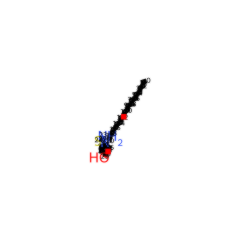 CCCCCCCCCCCCCCCCCCCCCN(C(N)=S)c1ccc(O)cc1